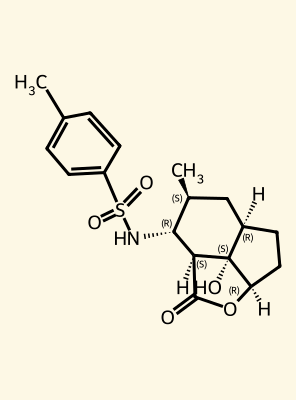 Cc1ccc(S(=O)(=O)N[C@@H]2[C@@H](C)C[C@H]3CC[C@H]4OC(=O)[C@@H]2[C@@]34O)cc1